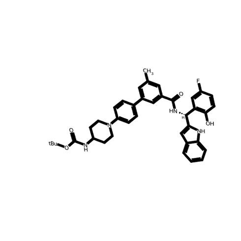 Cc1cc(C(=O)N[C@@H](c2cc3ccccc3[nH]2)c2cc(F)ccc2O)cc(-c2ccc(N3CCC(NC(=O)OC(C)(C)C)CC3)cc2)c1